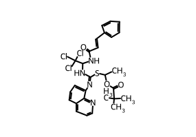 CC(OC(=O)C(C)(C)C)S/C(=N/c1cccc2cccnc12)NC(NC(=O)/C=C/c1ccccc1)C(Cl)(Cl)Cl